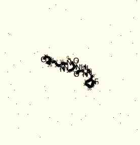 CN1C(=O)[C@H](NC(=O)c2ncn(Cc3ccccc3F)n2)CCn2nc(CCN3CC4CC3CO4)cc21